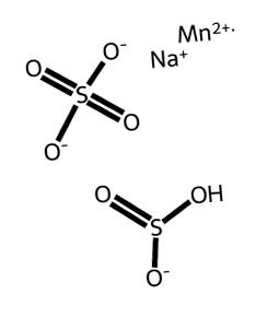 O=S(=O)([O-])[O-].O=S([O-])O.[Mn+2].[Na+]